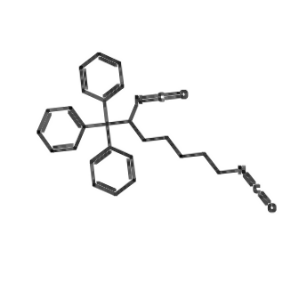 O=C=NCCCCCC(N=C=O)C(c1ccccc1)(c1ccccc1)c1ccccc1